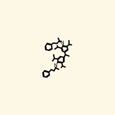 CC(CCc1ccccc1)=Nc1c(C(C)C)cc(C(C)c2cc(C(C)C)c(N=C(C)CCc3ccccc3)c(C(C)C)c2)cc1C(C)C